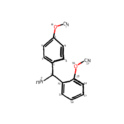 CCCC(c1ccc(OC#N)cc1)c1ccccc1OC#N